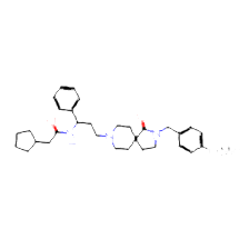 COc1ccc(CN2CCC3(CCN(CCC(NC(=O)CC4CCCC4)c4ccccc4)CC3)C2=O)cc1